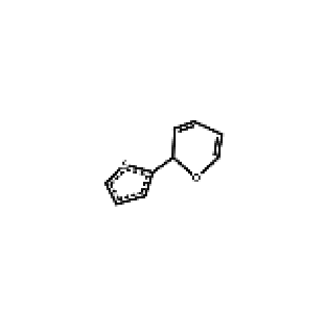 C1=COC(c2cccs2)C=C1